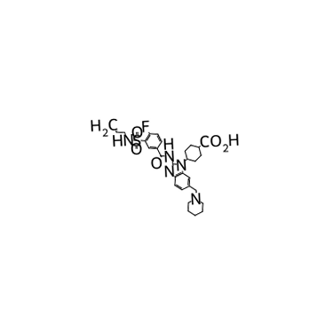 C=CCNS(=O)(=O)c1cc(C(=O)Nc2nc3ccc(CN4CCCCC4)cc3n2C2CCC(C(=O)O)CC2)ccc1F